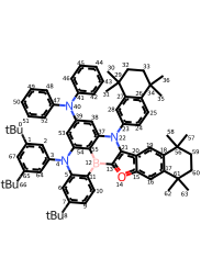 CC(C)(C)c1cc(N2c3cc(C(C)(C)C)ccc3B3c4oc5cc6c(cc5c4N(c4ccc5c(c4)C(C)(C)CCC5(C)C)c4cc(N(c5ccccc5)c5ccccc5)cc2c43)C(C)(C)CCC6(C)C)cc(C(C)(C)C)c1